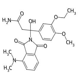 CCOc1cc(C(O)(CC(N)=O)N2C(=O)c3cccc(N(C)C)c3C2=O)ccc1OC